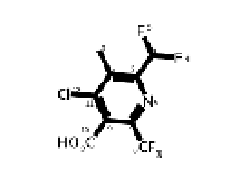 Cc1c(C(F)F)nc(C(F)(F)F)c(C(=O)O)c1Cl